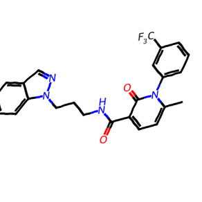 Cc1ccc(C(=O)NCCCn2ncc3ccccc32)c(=O)n1-c1cccc(C(F)(F)F)c1